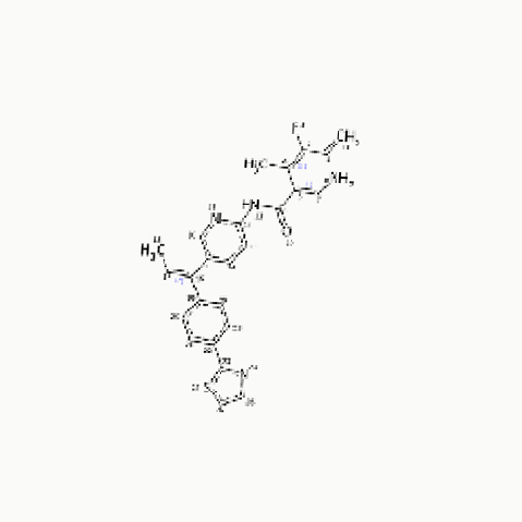 C=C/C(F)=C(C)\C(=C/N)C(=O)Nc1ccc(/C(=C\C)c2ccc(-c3nccs3)cc2)cn1